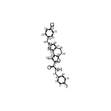 Cc1ccc(CNC(=O)c2oc3c(c2C)-c2nn(Cc4ccc(Cl)cc4)cc2CC3)cc1